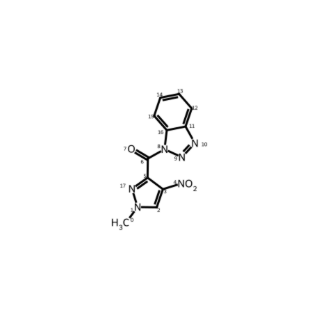 Cn1cc([N+](=O)[O-])c(C(=O)n2nnc3ccccc32)n1